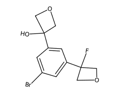 OC1(c2cc(Br)cc(C3(F)COC3)c2)COC1